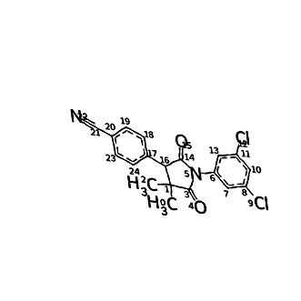 CC1(C)C(=O)N(c2cc(Cl)cc(Cl)c2)C(=O)C1c1ccc(C#N)cc1